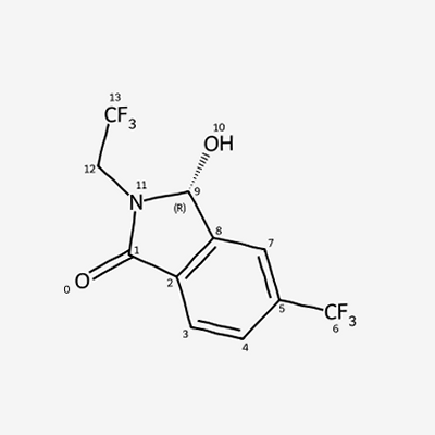 O=C1c2ccc(C(F)(F)F)cc2[C@@H](O)N1CC(F)(F)F